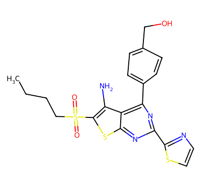 CCCCS(=O)(=O)c1sc2nc(-c3nccs3)nc(-c3ccc(CO)cc3)c2c1N